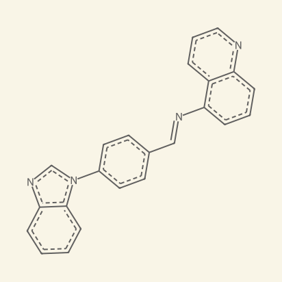 C(=N\c1cccc2ncccc12)/c1ccc(-n2cnc3ccccc32)cc1